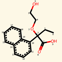 CCC(OCCO)(C(=O)O)c1cccc2ccccc12